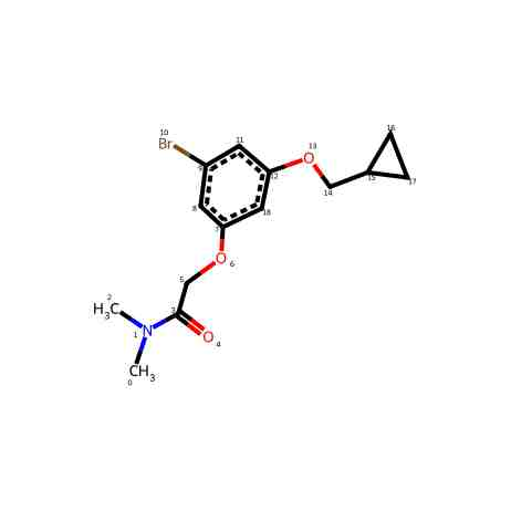 CN(C)C(=O)COc1cc(Br)cc(OCC2CC2)c1